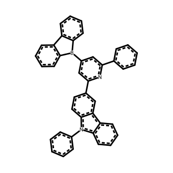 c1ccc(-c2cc(B3c4ccccc4-c4ccccc43)cc(-c3ccc4c(c3)c3ccccc3n4-c3ccccc3)n2)cc1